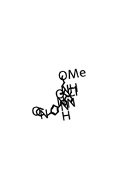 COCCCNC(=O)c1c(Cl)cnc2[nH]c(-c3ccc(CN4CCOCC4)cc3)nc12